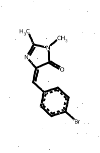 CC1=N/C(=C/c2ccc(Br)cc2)C(=O)N1C